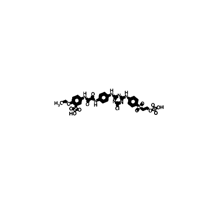 CCOc1ccc(NC(=O)C(=O)Nc2ccc(Nc3nc(Cl)nc(Nc4ccc(S(=O)(=O)CCOS(=O)(=O)O)cc4)n3)cc2)cc1S(=O)(=O)O